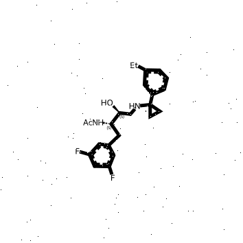 CCc1cccc(C2(NC[C@H](O)[C@H](Cc3cc(F)cc(F)c3)NC(C)=O)CC2)c1